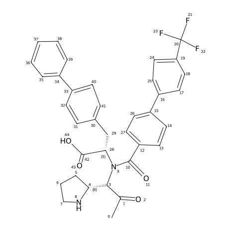 CC(=O)C([C@H]1CCCN1)N(C(=O)c1ccc(-c2ccc(C(F)(F)F)cc2)cc1)[C@@H](Cc1ccc(-c2ccccc2)cc1)C(=O)O